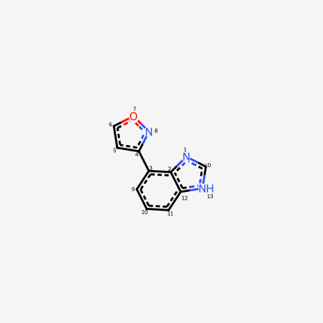 [c]1nc2c(-c3ccon3)cccc2[nH]1